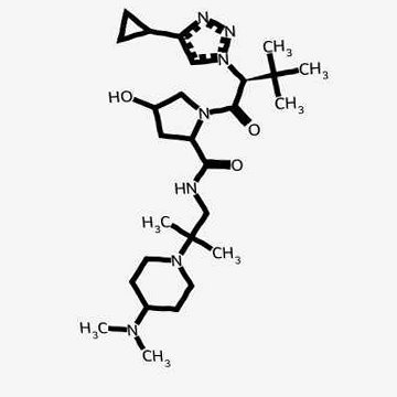 CN(C)C1CCN(C(C)(C)CNC(=O)C2CC(O)CN2C(=O)[C@@H](n2cc(C3CC3)nn2)C(C)(C)C)CC1